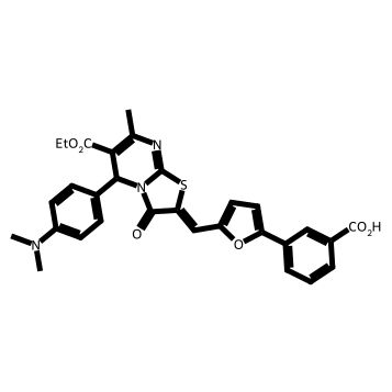 CCOC(=O)C1=C(C)N=c2s/c(=C\c3ccc(-c4cccc(C(=O)O)c4)o3)c(=O)n2C1c1ccc(N(C)C)cc1